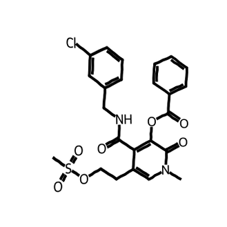 Cn1cc(CCOS(C)(=O)=O)c(C(=O)NCc2cccc(Cl)c2)c(OC(=O)c2ccccc2)c1=O